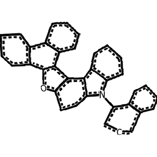 c1ccc2c(-n3c4ccccc4c4c5c(ccc43)oc3c4ccccc4c4ccccc4c35)cccc2c1